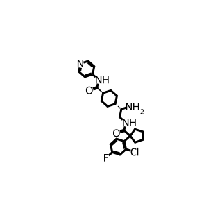 NC(CNC(=O)C1(c2ccc(F)cc2Cl)CCCC1)[C@H]1CC[C@H](C(=O)Nc2ccncc2)CC1